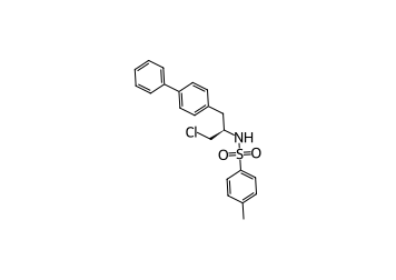 Cc1ccc(S(=O)(=O)N[C@@H](CCl)Cc2ccc(-c3ccccc3)cc2)cc1